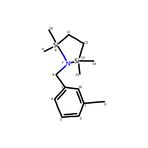 Cc1cccc(CN2[Si](C)(C)CC[Si]2(C)C)c1